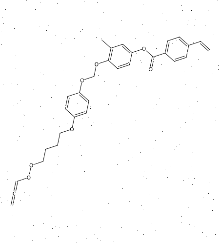 C=C=COOCCCCOc1ccc(OCOc2ccc(OC(=O)c3ccc(C=C)cc3)cc2C)cc1